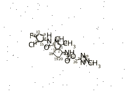 Cc1c2c(c(C(=O)Nc3ccc(F)c(Cl)c3)n1C)CCCC2NC(=O)OCc1ncn(C)n1